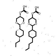 CCCCC1CCC(C2OCC(OC(=O)O)CO2)CC1.CCC[C@H]1CC[C@H]([C@H]2OC[C@H](OC(=O)O)CO2)CC1